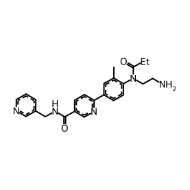 CCC(=O)N(CCN)c1ccc(-c2ccc(C(=O)NCc3cccnc3)cn2)cc1C